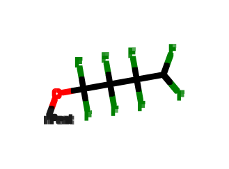 CCCCCOC(F)(F)C(F)(F)C(F)(F)[C](F)F